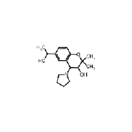 CC(O)c1ccc2c(c1)C(N1CCCC1)C(O)C(C)(C)O2